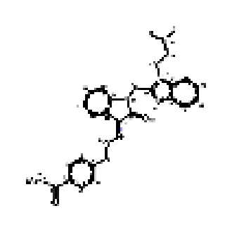 COC(=O)c1ccc(CO/N=C2/C(=O)N(Cc3nc4ccccc4n3CCN(C)C)c3ccccc32)cc1